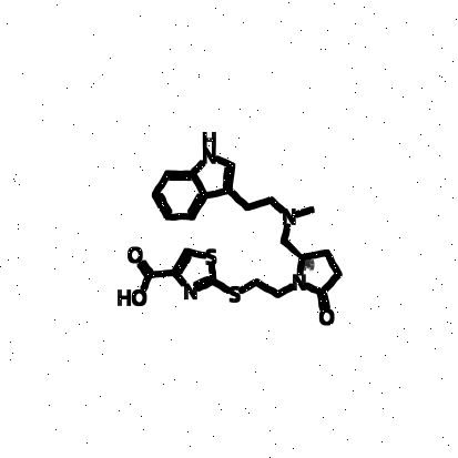 CN(CCc1c[nH]c2ccccc12)C[C@H]1CCC(=O)N1CCSc1nc(C(=O)O)cs1